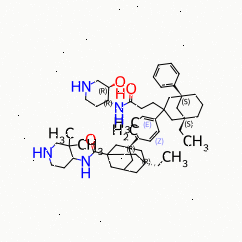 C=C(/C=C\C(=C/C)C1(CCC(=O)N[C@@H]2CCNC[C@H]2O)C[C@@]2(CC)CCC[C@@](c3ccccc3)(C1)C2)[C@]12CC3CC(C(=O)NC4CCNCC4(C)C)(C[C@](CC)(C3)C1)C2